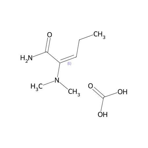 CC/C=C(\C(N)=O)N(C)C.O=C(O)O